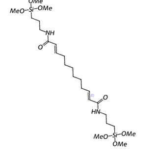 CO[Si](CCCNC(=O)C=CCCCCCC/C=C/C(=O)NCCC[Si](OC)(OC)OC)(OC)OC